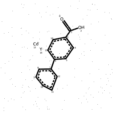 O=C(O)c1ccc(-c2cc[c]cc2)cc1.[Cd].[Y]